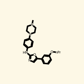 CCCOc1cccc(-c2cnc(Nc3ccc(N4CCN(C)CC4)cc3)o2)c1